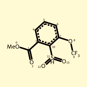 COC(=O)c1cccc(OC(F)(F)F)c1[SH](=O)=O